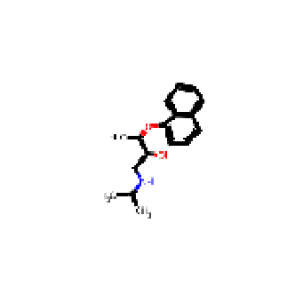 CC(C)NCC(O)C(C)Oc1cccc2ccccc12